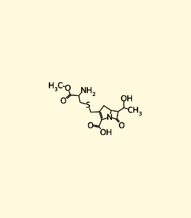 COC(=O)C(N)CSCC1=C(C(=O)O)N2C(=O)C(C(C)O)C2C1